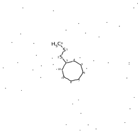 CSSC1CCCCCCC1